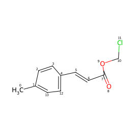 Cc1ccc(C=CC(=O)OCCl)cc1